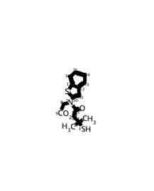 CC(C)(S)CC(=O)N(CC(=O)O)c1cc2ccccc2s1